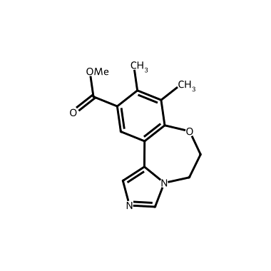 COC(=O)c1cc2c(c(C)c1C)OCCn1cncc1-2